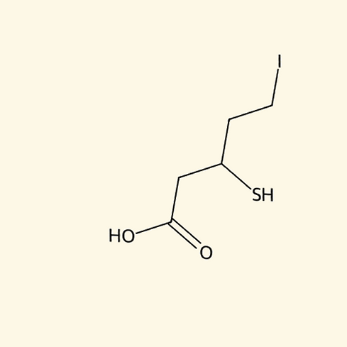 O=C(O)CC(S)CCI